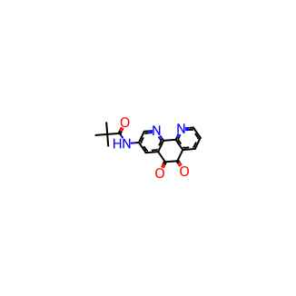 CC(C)(C)C(=O)Nc1cnc2c(c1)C(=O)C(=O)c1cccnc1-2